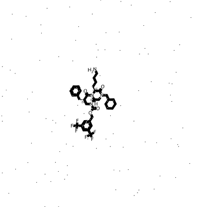 NCCCC[C@H]1C(=O)N(CC2CCCCC2)C[C@@H]2N(C(=O)OCc3cc(C(F)(F)F)cc(C(F)(F)F)c3)C[C@H](Cc3ccccc3)C(=O)N21